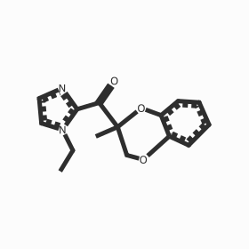 CCn1ccnc1C(=O)C1(C)COc2ccccc2O1